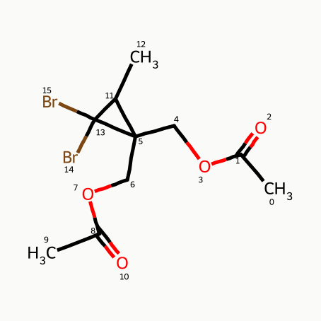 CC(=O)OCC1(COC(C)=O)C(C)C1(Br)Br